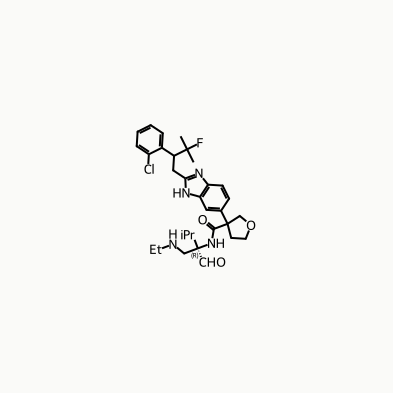 CCNC[C@](C=O)(NC(=O)C1(c2ccc3nc(CC(c4ccccc4Cl)C(C)(C)F)[nH]c3c2)CCOC1)C(C)C